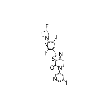 O=C1c2sc(-c3cc(I)c(N4CC[C@H](F)C4)nc3I)nc2CCN1c1cncc(I)c1